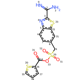 N=C(N)c1nc2ccc(CS(=O)(=O)OC(=O)c3cccs3)cc2s1